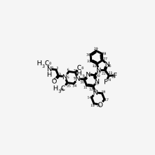 CNCC(=O)N1CC(C)N(c2cc(N3CCOCC3)nc(-n3c(C(F)F)nc4ccccc43)n2)CC1C